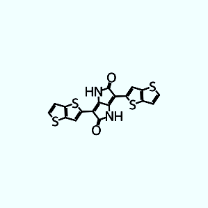 O=C1NC2=C(c3cc4sccc4s3)C(=O)NC2=C1c1cc2sccc2s1